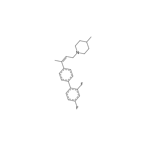 CC(=CCN1CCC(C)CC1)c1ccc(-c2ccc(F)cc2F)cc1